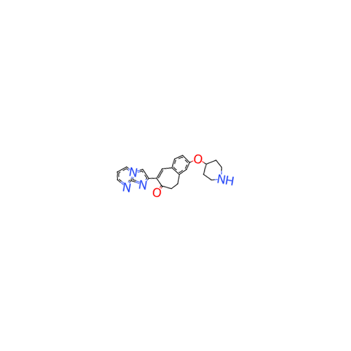 O=C1CCc2cc(OC3CCNCC3)ccc2C=C1c1cn2cccnc2n1